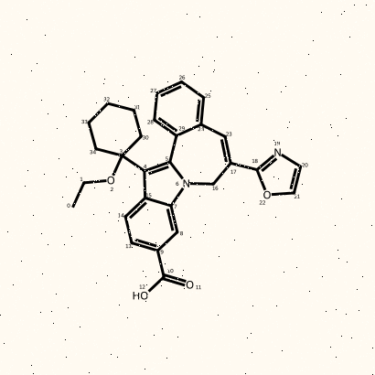 CCOC1(c2c3n(c4cc(C(=O)O)ccc24)CC(c2ncco2)=Cc2ccccc2-3)CCCCC1